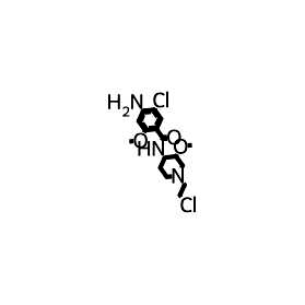 COc1cc(N)c(Cl)cc1C(=O)NC1CCN(CCCl)CC1OC